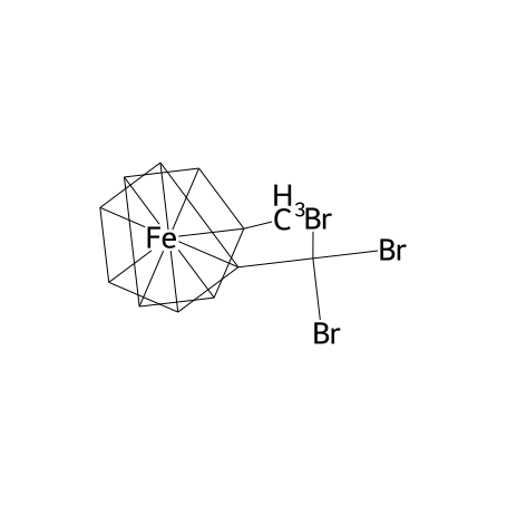 C[C]12[CH]3[CH]4[CH]5[CH]1[Fe]45321678[CH]2[CH]1[CH]6[C]7(C(Br)(Br)Br)[CH]28